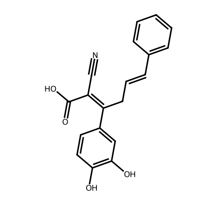 N#CC(C(=O)O)=C(CC=Cc1ccccc1)c1ccc(O)c(O)c1